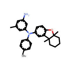 Cc1cc(N)cc(N(c2ccc(C(C)(C)C)cc2)c2ccc3c(c2)C2(C)CCCCC2(C)O3)c1